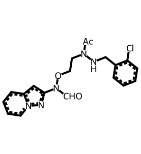 CC(=O)N(CCON(C=O)c1cc2ccccn2n1)NCc1ccccc1Cl